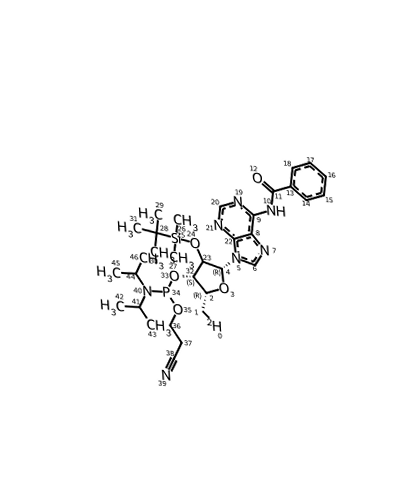 [2H]C[C@H]1O[C@@H](n2cnc3c(NC(=O)c4ccccc4)ncnc32)C(O[Si](C)(C)C(C)(C)C)[C@H]1OP(OCCC#N)N(C(C)C)C(C)C